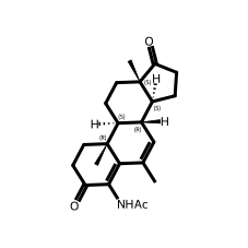 CC(=O)NC1=C2C(C)=C[C@@H]3[C@H](CC[C@]4(C)C(=O)CC[C@@H]34)[C@@]2(C)CCC1=O